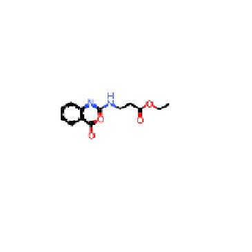 CCOC(=O)CCNc1nc2ccccc2c(=O)o1